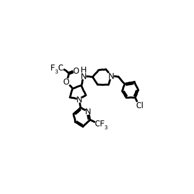 O=C(OC1CN(c2cccc(C(F)(F)F)n2)CC1NC1CCN(Cc2ccc(Cl)cc2)CC1)C(F)(F)F